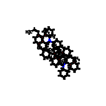 C=C(C)/C(=C\C=C/C)c1ccccc1N(c1ccc2c(c1)C(C(C)(C)C)(C1(C(C)(C)C)c3ccccc3-c3ccc(N(c4ccccc4-c4cccc(C)c4)c4ccccc4-c4ccccc4C)cc31)c1ccccc1-2)c1ccccc1-c1cccc(C)c1